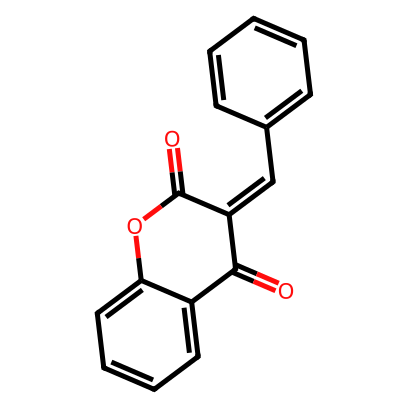 O=C1Oc2ccccc2C(=O)/C1=C/c1ccccc1